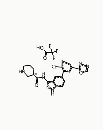 O=C(Nc1n[nH]c2ccc(-c3cc(-c4nnco4)ccc3Cl)cc12)[C@@H]1CCCNC1.O=C(O)C(F)(F)F